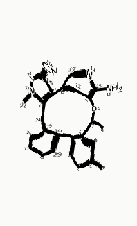 Cc1ccc2c(c1)C(C)Oc1cc(cnc1N)-c1c(C#N)nn(C)c1Cc1ccccc1-2